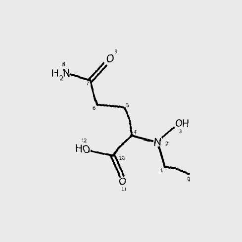 CCN(O)C(CCC(N)=O)C(=O)O